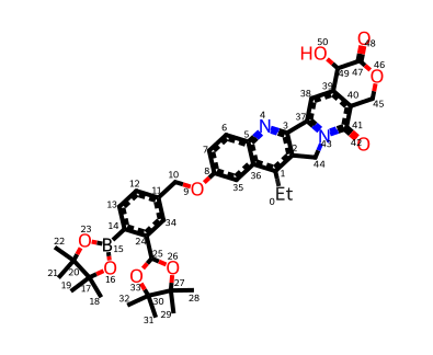 CCc1c2c(nc3ccc(OCc4ccc(B5OC(C)(C)C(C)(C)O5)c(C5OC(C)(C)C(C)(C)O5)c4)cc13)-c1cc3c(c(=O)n1C2)COC(=O)C3O